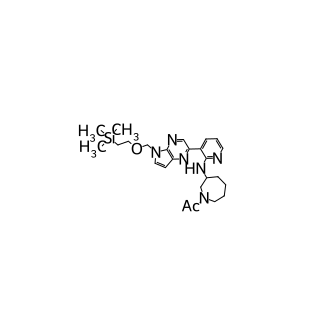 CC(=O)N1CCCCC(Nc2ncccc2-c2cnc3c(ccn3COCC[Si](C)(C)C)n2)C1